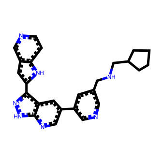 c1cc2[nH]c(-c3n[nH]c4ncc(-c5cncc(CNCC6CCCC6)c5)cc34)cc2cn1